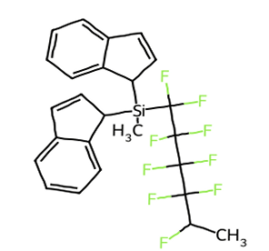 CC(F)C(F)(F)C(F)(F)C(F)(F)C(F)(F)[Si](C)(C1C=Cc2ccccc21)C1C=Cc2ccccc21